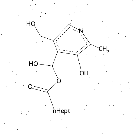 CCCCCCCC(=O)OC(O)c1c(CO)cnc(C)c1O